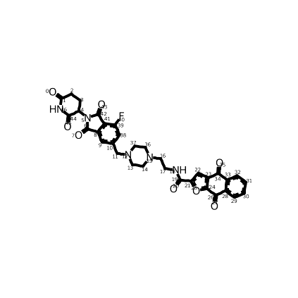 O=C1CCC(N2C(=O)c3cc(CN4CCN(CCNC(=O)c5cc6c(o5)C(=O)c5ccccc5C6=O)CC4)cc(F)c3C2=O)C(=O)N1